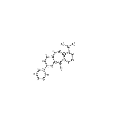 CC(=O)N(C(C)=O)c1cccc2c(=O)c3cc(-c4ccccc4)cnc3ccc12